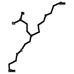 CCCCCCCCCCCCSCCCN(CCCSCCCCCCCCCCCC)CCN(CC)CC